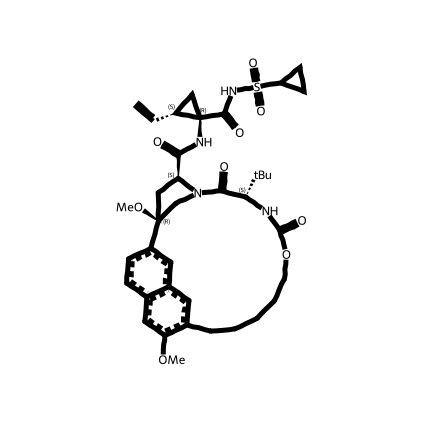 C=C[C@@H]1C[C@]1(NC(=O)[C@@H]1C[C@]2(OC)CN1C(=O)[C@H](C(C)(C)C)NC(=O)OCCCCCc1cc3cc2ccc3cc1OC)C(=O)NS(=O)(=O)C1CC1